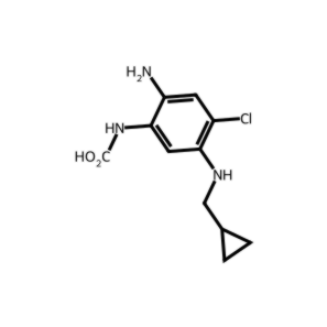 Nc1cc(Cl)c(NCC2CC2)cc1NC(=O)O